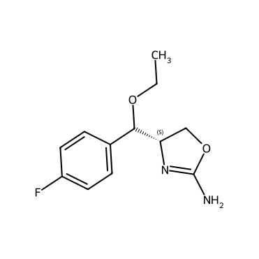 CCOC(c1ccc(F)cc1)[C@@H]1COC(N)=N1